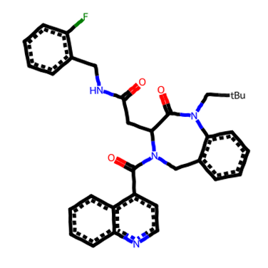 CC(C)(C)CN1C(=O)C(CC(=O)NCc2ccccc2F)N(C(=O)c2ccnc3ccccc23)Cc2ccccc21